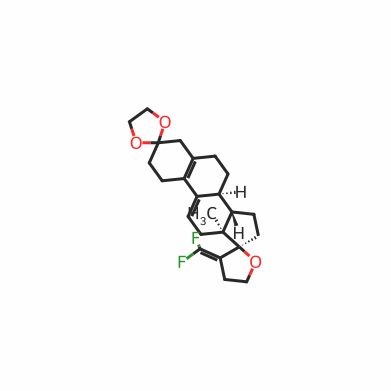 C[C@]12CC=C3C4=C(CC[C@H]3[C@@H]1CC[C@@]21OCCC1=C(F)F)CC1(CC4)OCCO1